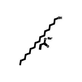 C=CC(=O)[O-].CCCCCCCCCCCCCCCCO.[Na+]